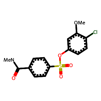 CNC(=O)c1ccc(S(=O)(=O)Oc2ccc(Cl)c(OC)c2)cc1